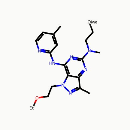 CCOCCn1nc(C)c2nc(N(C)CCOC)nc(Nc3cc(C)ccn3)c21